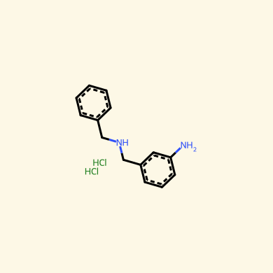 Cl.Cl.Nc1cccc(CNCc2ccccc2)c1